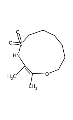 C/C1=C(\C)OCCCCCCS(=O)(=O)N1